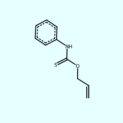 C=CCOC(=S)Nc1ccccc1